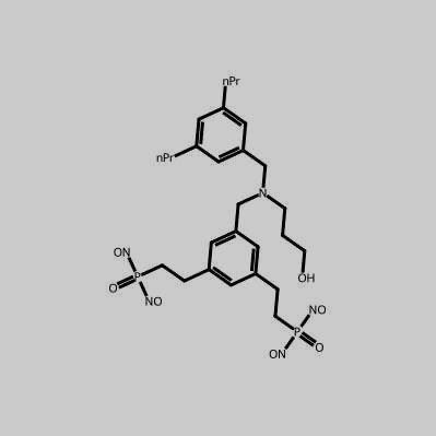 CCCc1cc(CCC)cc(CN(CCCO)Cc2cc(CCP(=O)(N=O)N=O)cc(CCP(=O)(N=O)N=O)c2)c1